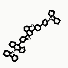 C1=C(c2ccc(-n3c4ccccc4c4ccccc43)cc2)CCC2=C1Oc1cccc3c1c2cc1oc2cc(-c4c5ccccc5c(-n5c6ccccc6c6ccccc65)c5ccccc45)ccc2c13